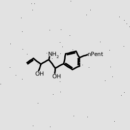 C=CC(O)C(N)C(O)c1ccc(CCCCC)cc1